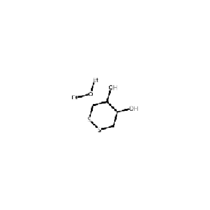 CCOCC.OC1CSSCC1O